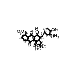 CC[C@@](O)(Cc1c(O)c2c(c(O)c1CO[C@H]1C[C@H](N)[C@@H](O)CO1)C(=O)c1c(OC)cccc1C2=O)C(C)=O